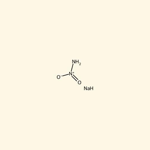 N[N+](=O)[O-].[NaH]